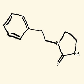 S=C1NCCN1CCc1ccccc1